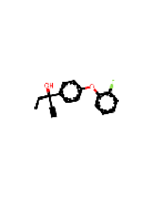 C#CC(O)(CC)c1ccc(Oc2ccccc2F)cc1